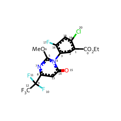 CCOC(=O)c1cc(-n2c(OC)nc(C(F)(F)C(F)(F)F)cc2=O)c(F)cc1Cl